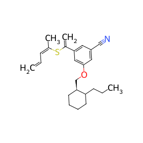 C=C/C=C(/C)SC(=C)c1cc(C#N)cc(OC[C@@H]2CCCCC2CCC)c1